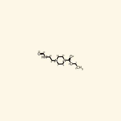 CCOC(=O)N1CCN(CCNC=O)CC1